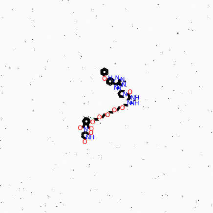 Nc1ncnc2c1c(-c1ccc(Oc3ccccc3)cc1)nn2C1CCCN(C(=O)C2=CN(CCOCCOCCOCCOCCOc3cccc4c3C(=O)N(C3CCC(=O)NC3=O)C4=O)NCN2)C1